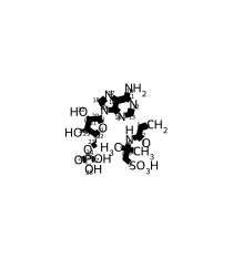 C=CC(=O)NC(C)(C)CS(=O)(=O)O.Nc1ncnc2c1ncn2[C@@H]1O[C@H](COP(=O)(O)O)[C@@H](O)[C@H]1O